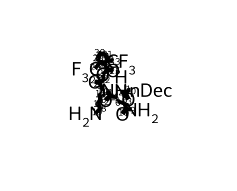 CCCCCCCCCCCC(=O)N[C@@H](CCC(N)=O)C(=O)N[C@@H](CCCCN)C(=O)COC(=O)c1c(C(F)(F)F)cccc1C(F)(F)F